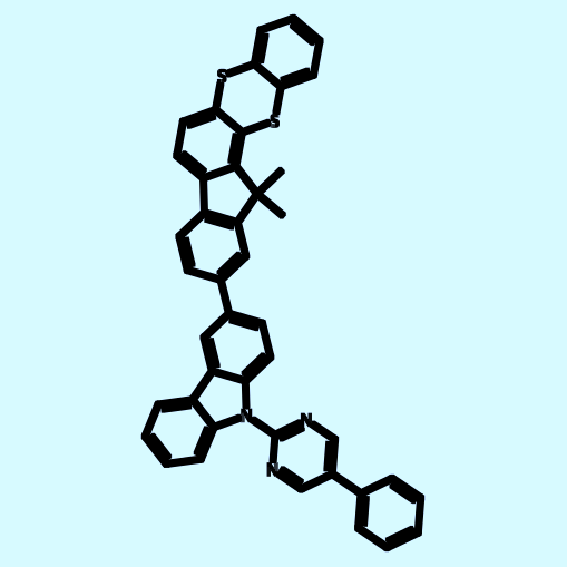 CC1(C)c2cc(-c3ccc4c(c3)c3ccccc3n4-c3ncc(-c4ccccc4)cn3)ccc2-c2ccc3c(c21)Sc1ccccc1S3